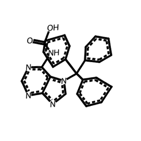 O=C(O)Nc1ncnc2ncn(C(c3ccccc3)(c3ccccc3)c3ccccc3)c12